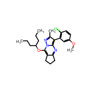 CCCC(CCC)Oc1c2c(nc3c(-c4cc(OC)ccc4Cl)c(C)nn13)CCC2